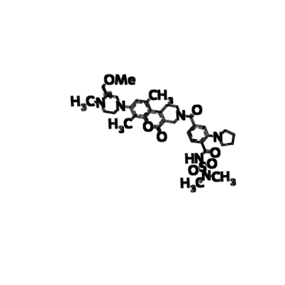 COC[C@H]1CN(c2cc(C)c3c4c(c(=O)oc3c2C)CN(C(=O)c2ccc(C(=O)NS(=O)(=O)N(C)C)c(N3CCCC3)c2)CC4)CCN1C